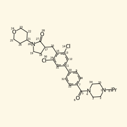 CC(C)N1CCN(C(=O)c2ccc(-c3cc(Cl)c(CC4CCN(C5CCOCC5)C4=O)c(Cl)c3)cc2)CC1